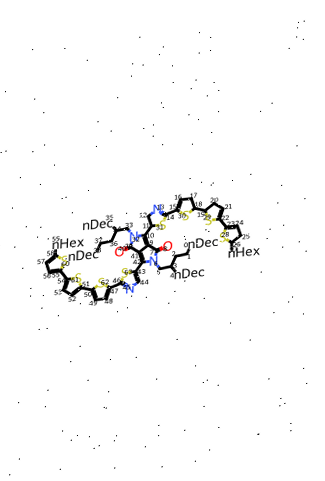 CCCCCCCCCCCCC(CCCCCCCCCC)CN1C(=O)C2=C(C3CN=C(C4=CCC(C5CC=C(C6=CCC(CCCCCC)S6)S5)S4)S3)N(CC(CCCCCCCCCC)CCCCCCCCCCCC)C(=O)C2=C1c1cnc(-c2ccc(-c3ccc(-c4ccc(CCCCCC)s4)s3)s2)s1